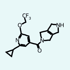 O=C(c1cc(OCC(F)(F)F)nc(C2CC2)c1)N1CC2=C(CNC2)C1